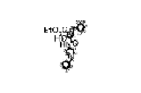 CCOC(=O)c1c(O)c(C(=O)NC2CCN(Cc3ccccc3)CC2)cn1Cc1ccccc1